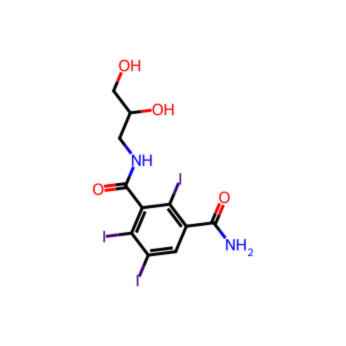 NC(=O)c1cc(I)c(I)c(C(=O)NCC(O)CO)c1I